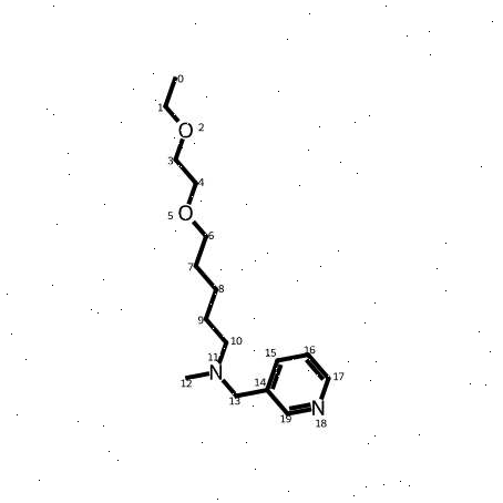 CCOCCOCCCCCN(C)Cc1cccnc1